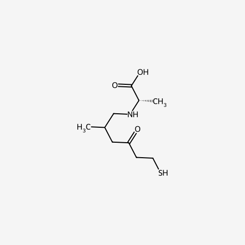 CC(CN[C@@H](C)C(=O)O)CC(=O)CCS